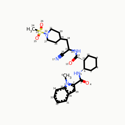 Cn1c(C(=O)N[C@H]2CCCC[C@H]2C(=O)NC(C#N)CC2CCN(S(C)(=O)=O)CC2)cc2ccccc21